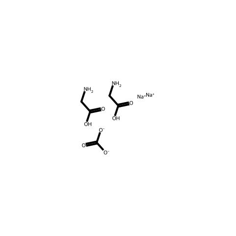 NCC(=O)O.NCC(=O)O.O=C([O-])[O-].[Na+].[Na+]